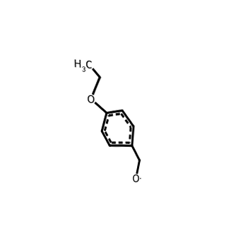 CCOc1ccc(C[O])cc1